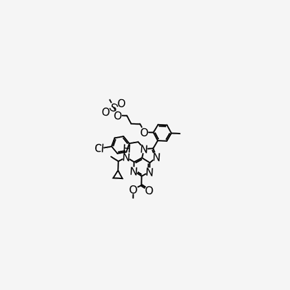 COC(=O)c1nc(NC(C)C2CC2)c2c(n1)nc(-c1cc(C)ccc1OCCCOS(C)(=O)=O)n2Cc1ccc(Cl)cc1